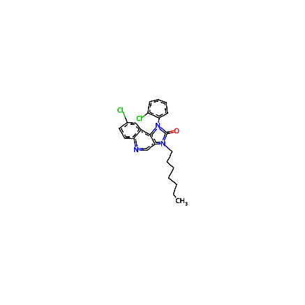 CCCCCCCn1c(=O)n(-c2ccccc2Cl)c2c3cc(Cl)ccc3ncc21